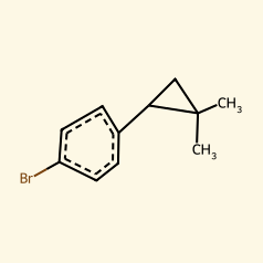 CC1(C)CC1c1ccc(Br)cc1